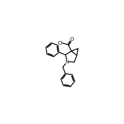 O=C(Cl)C12CC1CN(Cc1ccccc1)C2c1ccccc1